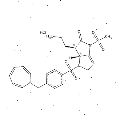 CCC[C@H]1C(=O)N(S(C)(=O)=O)C2=CCN(S(=O)(=O)c3ccc(CN4C=CC=CC=C4)cc3)[C@@H]21.Cl